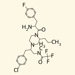 CCCC1CN(C(Cc2ccc(Cl)cc2)CN(C)C(=O)C(F)(F)F)CCN1C(=O)C(N)Cc1ccc(F)cc1